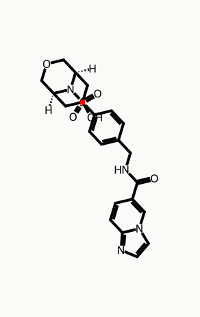 O=C(NCc1ccc(S(=O)(=O)N2[C@@H]3COC[C@H]2CC(O)C3)cc1)c1ccc2nccn2c1